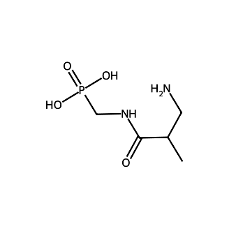 CC(CN)C(=O)NCP(=O)(O)O